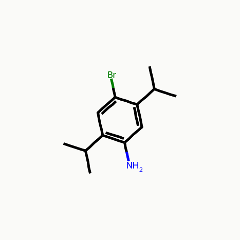 CC(C)c1cc(Br)c(C(C)C)cc1N